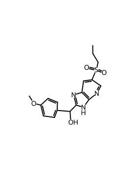 CCCS(=O)(=O)c1cnc2[nH]c(C(O)c3ccc(OC)cc3)nc2c1